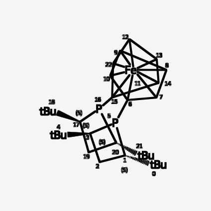 CC(C)(C)[C@@H]1C[C@@H](C(C)(C)C)P1[C]12[CH]3[CH]4[CH]5[CH]1[Fe]45321678[CH]2[CH]1[CH]6[C]7(P1[C@H](C(C)(C)C)C[C@H]1C(C)(C)C)[CH]28